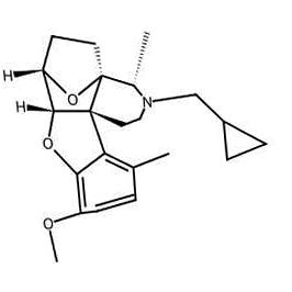 COc1ccc(C)c2c1O[C@@H]1[C@@H]3CC[C@]4(O3)[C@H](C)N(CC3CC3)CC[C@@]214